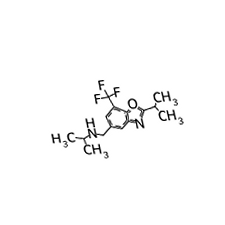 CC(C)NCc1cc(C(F)(F)F)c2oc(C(C)C)nc2c1